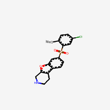 COc1ccc(Cl)cc1S(=O)(=O)c1ccc2c3c(oc2c1)CNCC3